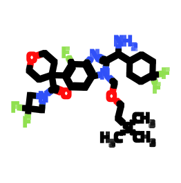 C[Si](C)(C)CCOCn1c(C(N)C2CCC(F)(F)CC2)nc2c(F)c(C3(C(=O)N4CC(F)(F)C4)CCOCC3)ccc21